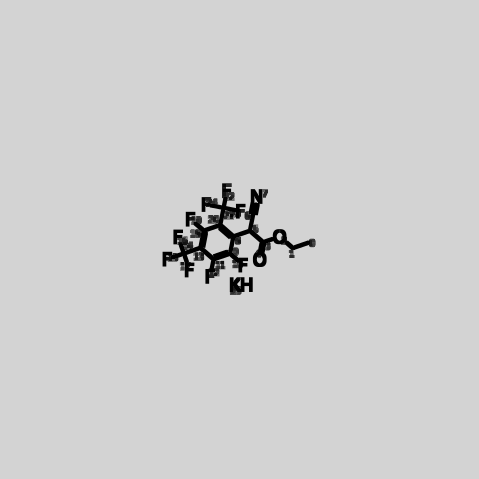 CCOC(=O)C(C#N)c1c(F)c(F)c(C(F)(F)F)c(F)c1C(F)(F)F.[KH]